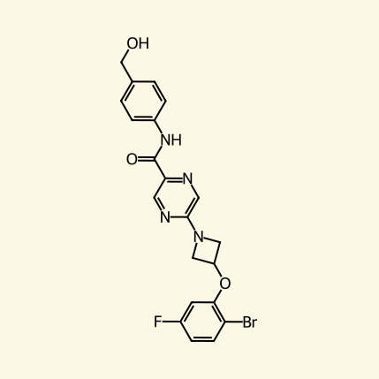 O=C(Nc1ccc(CO)cc1)c1cnc(N2CC(Oc3cc(F)ccc3Br)C2)cn1